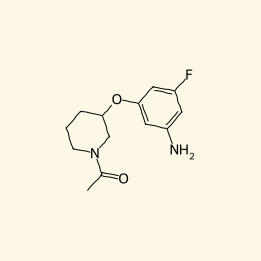 CC(=O)N1CCCC(Oc2cc(N)cc(F)c2)C1